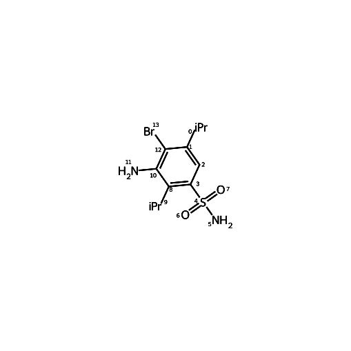 CC(C)c1cc(S(N)(=O)=O)c(C(C)C)c(N)c1Br